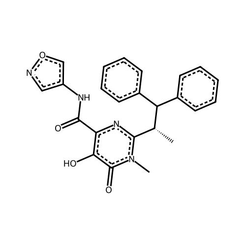 C[C@H](c1nc(C(=O)Nc2cnoc2)c(O)c(=O)n1C)C(c1ccccc1)c1ccccc1